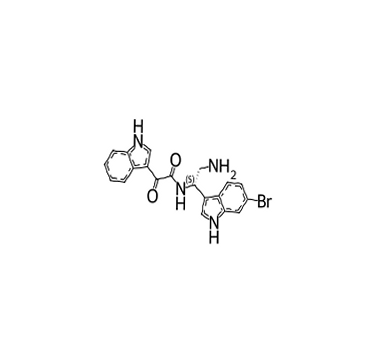 NC[C@@H](NC(=O)C(=O)c1c[nH]c2ccccc12)c1c[nH]c2cc(Br)ccc12